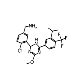 COC1=NC(c2cc(CN)ccc2Cl)NC(c2ccc(C(F)(F)F)c(C(C)C)c2)=N1